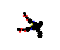 C=CC(=O)OCCOc1ccc(/C(S)=N/c2ccc(C3(c4ccc5nc(-c6ccc(OCCOC(=O)C=C)cc6)sc5c4)c4ccc(-c5ccc6ccccc6c5)cc4-c4cc5ccccc5cc43)cc2C)cc1